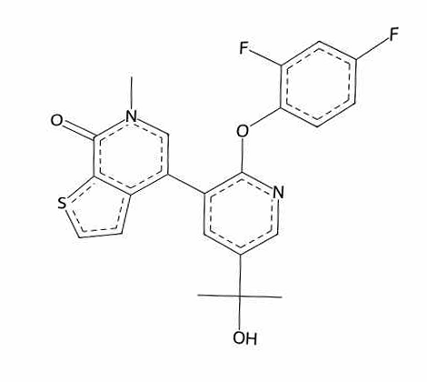 Cn1cc(-c2cc(C(C)(C)O)cnc2Oc2ccc(F)cc2F)c2ccsc2c1=O